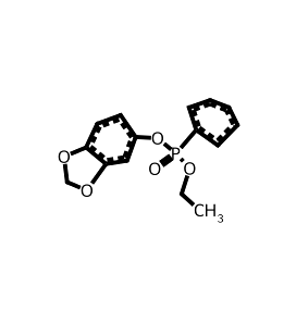 CCOP(=O)(Oc1ccc2c(c1)OCO2)c1ccccc1